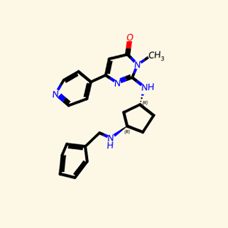 Cn1c(N[C@@H]2CC[C@@H](NCc3ccccc3)C2)nc(-c2ccncc2)cc1=O